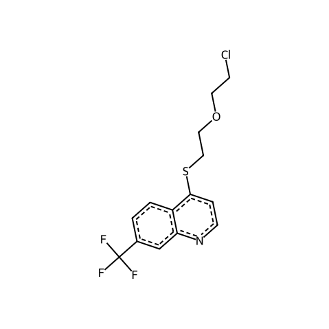 FC(F)(F)c1ccc2c(SCCOCCCl)ccnc2c1